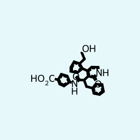 O=C(O)c1ccc(NC(=O)C(Cc2ccccc2)c2c(-c3ccccc3CCO)cc[nH]c2=O)cc1